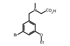 CCOc1cc(Br)cc(CN(C)CC(=O)O)c1